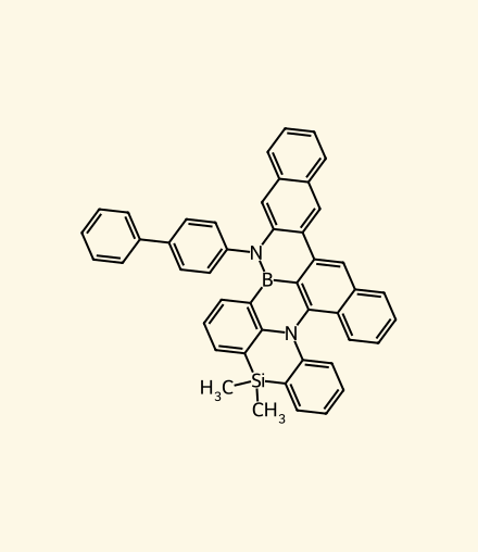 C[Si]1(C)c2ccccc2N2c3c(cccc31)B1c3c(cc4ccccc4c32)-c2cc3ccccc3cc2N1c1ccc(-c2ccccc2)cc1